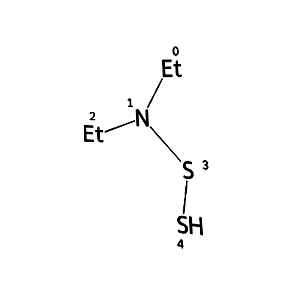 CCN(CC)SS